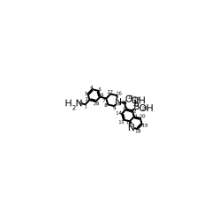 NCc1cccc(C2CCN(C(=O)c3ccc4ncccc4c3B(O)O)CC2)c1